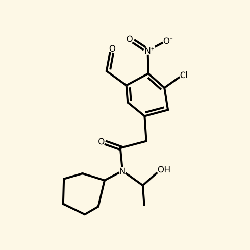 CC(O)N(C(=O)Cc1cc(Cl)c([N+](=O)[O-])c(C=O)c1)C1CCCCC1